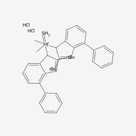 CC(C)(C)C1=Cc2c(-c3ccccc3)cccc2[CH]1[Hf]([CH3])([CH3])(=[SiH2])[CH]1C(C(C)(C)C)=Cc2c(-c3ccccc3)cccc21.Cl.Cl